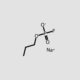 CCCOP(=O)([O-])F.[Na+]